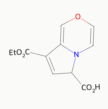 CCOC(=O)C1=CC(C(=O)O)N2C=COC=C12